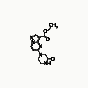 CCOC(=O)c1cnn2ccc(N3CCNC(=O)C3)nc12